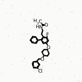 CC(=O)NCCc1c(F)cc(OC2CCC(OCc3cccc(Cl)c3)CC2)cc1-c1ccccc1